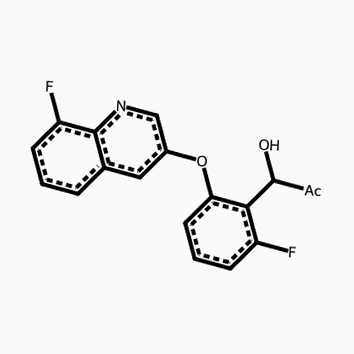 CC(=O)C(O)c1c(F)cccc1Oc1cnc2c(F)cccc2c1